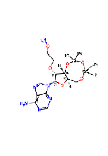 CC(C)[Si]1(C(C)C)OC[C@H]2O[C@@H](n3cnc4c(N)ncnc43)[C@H](OCCON)[C@@H]2O[Si](C(C)C)(C(C)C)O1